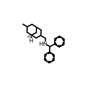 CC1CC2CC(CNC(c3ccccc3)c3ccccc3)C[C@H](C1)C2